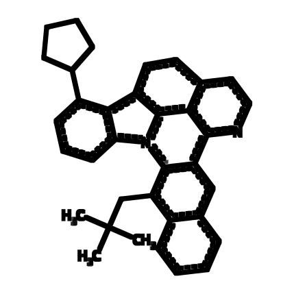 CC(C)(C)Cc1c2ccccc2cc2c3nccc4ccc5c6c(C7CCCC7)cccc6n(c12)c5c43